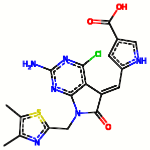 Cc1nc(CN2C(=O)/C(=C/c3cc(C(=O)O)c[nH]3)c3c(Cl)nc(N)nc32)sc1C